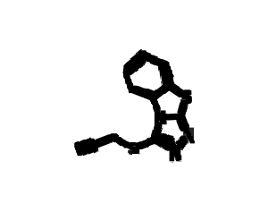 C#CCSc1nnc2sc3ccccc3n12